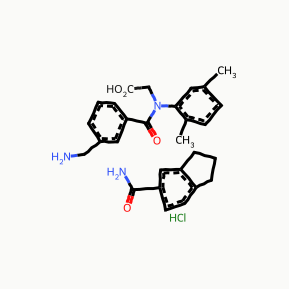 Cc1ccc(C)c(N(CC(=O)O)C(=O)c2cccc(CN)c2)c1.Cl.NC(=O)c1ccc2c(c1)CCC2